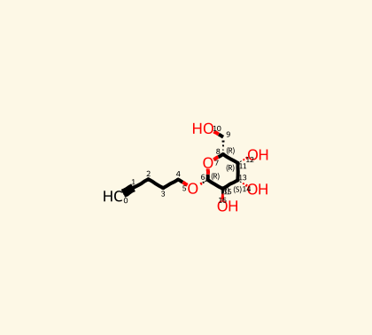 C#CCCCO[C@@H]1O[C@H](CO)[C@H](O)[C@H](O)[C@H]1O